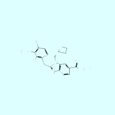 COC(=O)c1ccc2nc(Cc3ccc(Br)c(C)c3F)n(C[C@@H]3CCO3)c2c1